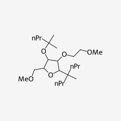 CCCC(C)(C)OC1C(COC)OC(C(C)(CCC)CCC)C1OCCOC